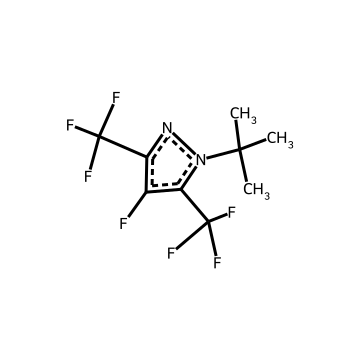 CC(C)(C)n1nc(C(F)(F)F)c(F)c1C(F)(F)F